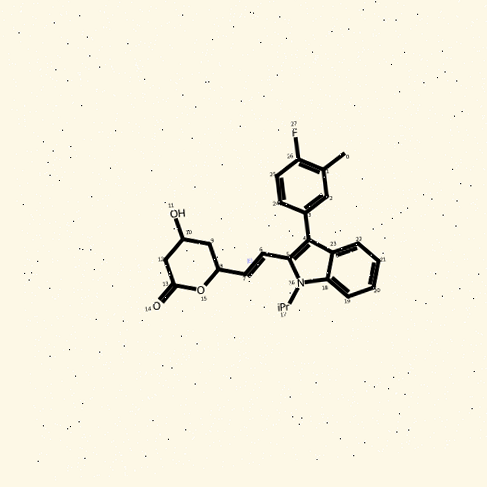 Cc1cc(-c2c(/C=C/C3CC(O)CC(=O)O3)n(C(C)C)c3ccccc23)ccc1F